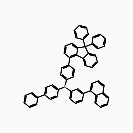 c1ccc(-c2ccc(N(c3ccc(-c4cccc5c4-c4ccccc4C5(c4ccccc4)c4ccccc4)cc3)c3cccc(-c4cccc5ccccc45)c3)cc2)cc1